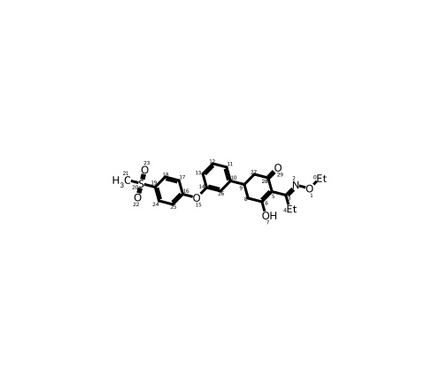 CCON=C(CC)C1=C(O)CC(c2cccc(Oc3ccc(S(C)(=O)=O)cc3)c2)CC1=O